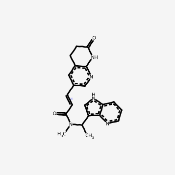 CC(c1c[nH]c2cccnc12)N(C)C(=O)/C=C/c1cnc2c(c1)CCC(=O)N2